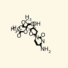 CC(=O)OC(C(C)=O)(C(C)=O)[C@H]1O[C@@H](n2ccc(N)nc2=O)C[C@@H]1O